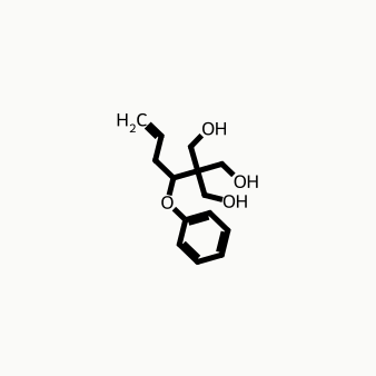 C=CCC(Oc1ccccc1)C(CO)(CO)CO